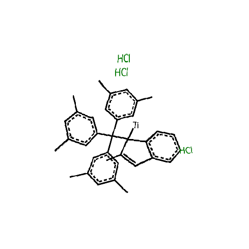 CC1=Cc2ccccc2[C]1([Ti])C(c1cc(C)cc(C)c1)(c1cc(C)cc(C)c1)c1cc(C)cc(C)c1.Cl.Cl.Cl